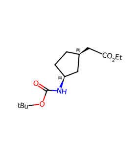 CCOC(=O)C[C@@H]1CC[C@H](NC(=O)OC(C)(C)C)C1